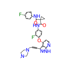 CN1CCN(CC#Cc2n[nH]c3nccc(Oc4ccc(NC(=O)C5(C(=O)Nc6ccc(F)cc6)CC5)cc4F)c23)CC1